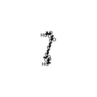 CC(O)C(=O)OC(C)C(=O)OCCCOCCCOC(=O)C(C)OC(=O)C(C)O